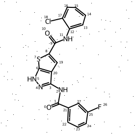 O=C(Nc1n[nH]c2sc(C(=O)Nc3ccccc3Cl)cc12)c1cccc(F)c1